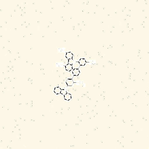 CC1CC(n2c3ccccc3c3ccccc32)=CC=C1c1ccc(-c2cc(C#N)ccc2-n2c3ccc(C#N)cc3c3c(C#N)cccc32)cc1